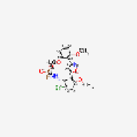 COc1ccc(Br)cc1-c1cc(-c2c(OC)cccc2OC)no1.N[SH](=O)=O